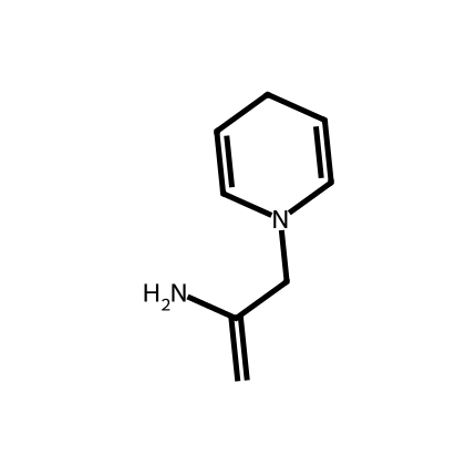 C=C(N)CN1C=CCC=C1